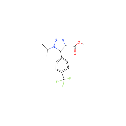 COC(=O)C1N=NN(C(C)C)C1c1ccc(C(F)(F)F)cc1